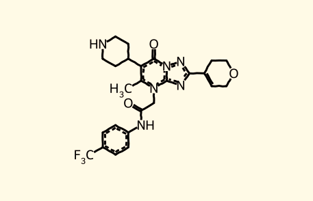 Cc1c(C2CCNCC2)c(=O)n2nc(C3=CCOCC3)nc2n1CC(=O)Nc1ccc(C(F)(F)F)cc1